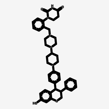 O=C1CCN(c2ccccc2CN2CCN(C3CCN(c4ccc(C5c6ccc(O)cc6OCC5c5ccccc5)cc4)CC3)CC2)C(=O)N1